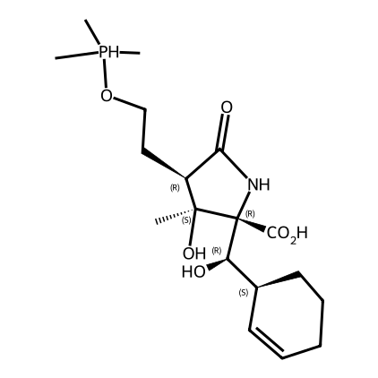 C[C@]1(O)[C@@H](CCO[PH](C)(C)C)C(=O)N[C@]1(C(=O)O)[C@H](O)[C@@H]1C=CCCC1